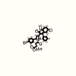 COC(=O)CCC(=O)N1N=C(c2c(-c3ccccc3)c3cc(Cl)ccc3[nH]c2=O)CC1c1ccc(Br)cc1